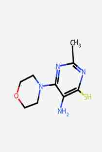 Cc1nc(S)c(N)c(N2CCOCC2)n1